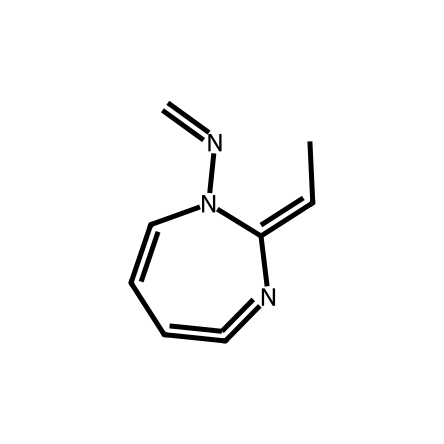 C=NN1C=CC=C=N/C1=C/C